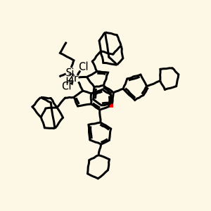 CCC[SiH](C)[Zr]([Cl])([Cl])([CH]1C(CC23CC4CC(CC(C4)C2)C3)=Cc2c(-c3ccc(C4CCCCC4)cc3)cccc21)[CH]1C(CC23CC4CC(CC(C4)C2)C3)=Cc2c(-c3ccc(C4CCCCC4)cc3)cccc21